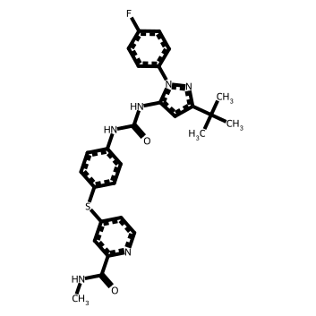 CNC(=O)c1cc(Sc2ccc(NC(=O)Nc3cc(C(C)(C)C)nn3-c3ccc(F)cc3)cc2)ccn1